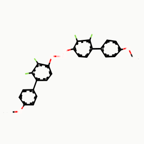 CCCCCCCCOc1ccc(-c2ccc(OBOc3ccc(-c4ccc(OCCCCCCCC)cc4)c(F)c3F)c(F)c2F)cc1